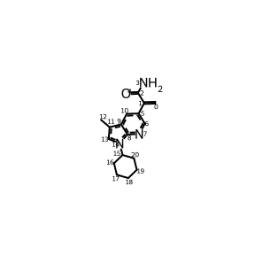 C=C(C(N)=O)c1cnc2c(c1)c(C)cn2C1CCCCC1